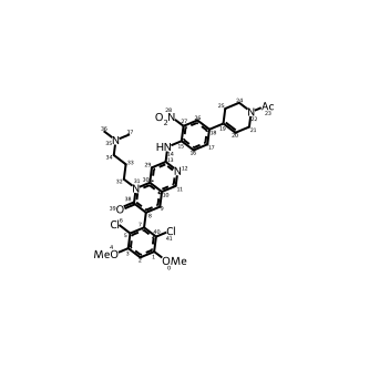 COc1cc(OC)c(Cl)c(-c2cc3cnc(Nc4ccc(C5=CCN(C(C)=O)CC5)cc4[N+](=O)[O-])cc3n(CCCN(C)C)c2=O)c1Cl